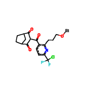 CCOCCCc1nc(C(F)(F)Cl)ccc1C(=O)C1C(=O)C2CCC(C2)C1=O